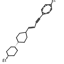 CCc1ccc(C#C/C=C/C2CCC([C@H]3CC[C@H](CC)CC3)CC2)cc1